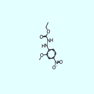 CCOC(=O)NNc1ccc([N+](=O)[O-])cc1OC